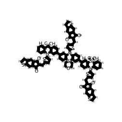 CC1(C)c2ccccc2N(c2ccc(/C=C3\C(=O)c4cc5ccsc5cc4C3=O)s2)c2cc(-c3ccc4c(c3)N(c3ccc(/C=C5\C(=O)c6cc7ccsc7cc6C5=O)s3)c3ccc(-c5ccc6c(c5)[Si](C)(C)c5ccccc5N6c5ccc(/C=C6\C(=O)c7cc8ccsc8cc7C6=O)s5)cc3[Si]43CCOCC3)ccc21